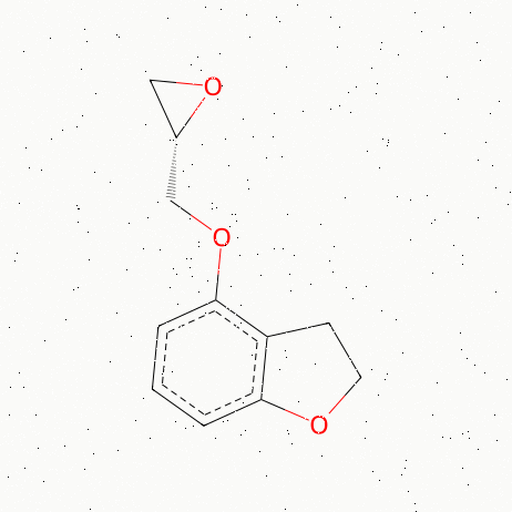 c1cc2c(c(OC[C@@H]3CO3)c1)CCO2